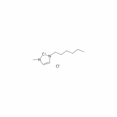 CCCCCCN1[C+]N(C)C=C1.[Cl-]